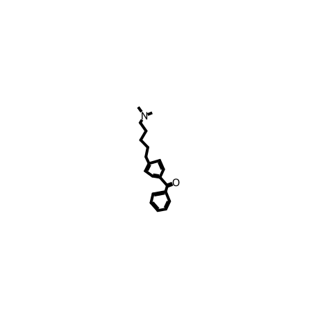 CN(C)CCCCCc1ccc(C(=O)c2ccccc2)cc1